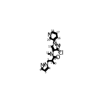 CC(Cn1cccn1)C(=O)N(C)c1cn(-c2cccnc2)nc1Cl